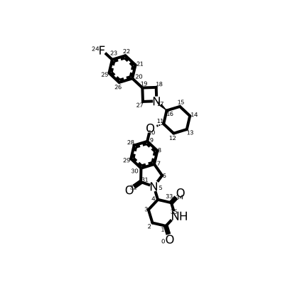 O=C1CCC(N2Cc3cc(O[C@H]4CCCC[C@@H]4N4CC(c5ccc(F)cc5)C4)ccc3C2=O)C(=O)N1